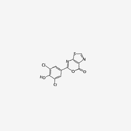 O=c1oc(-c2cc(Cl)c(O)c(Cl)c2)nc2scnc12